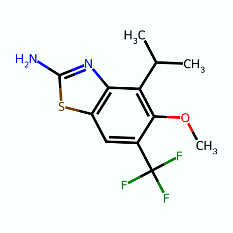 COc1c(C(F)(F)F)cc2sc(N)nc2c1C(C)C